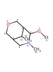 CCOC1C2COCC(CN1C)C2C